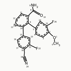 COc1ccc(-c2c(C(N)=O)ccnc2-c2ccc(C#N)c(F)c2)cc1F